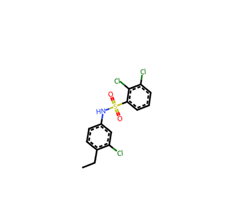 CCc1ccc(NS(=O)(=O)c2cccc(Cl)c2Cl)cc1Cl